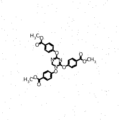 COC(=O)c1ccc(OC2=NCN(Oc3ccc(C(=O)OC)cc3)C(Oc3ccc(C(=O)OC)cc3)=N2)cc1